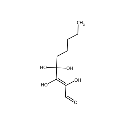 CCCCCC(O)(O)C(O)=C(O)C=O